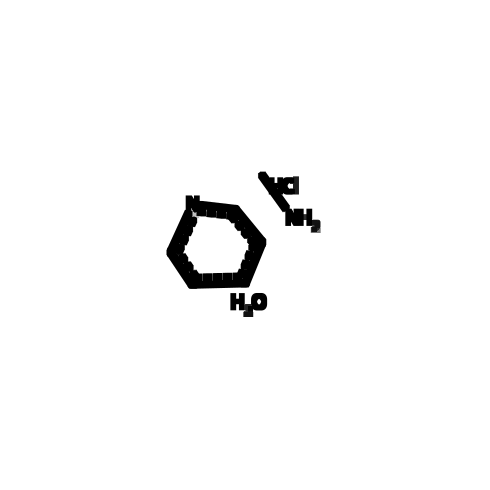 CN.Cl.O.c1ccncc1